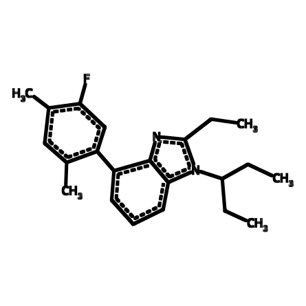 CCc1nc2c(-c3cc(F)c(C)cc3C)cccc2n1C(CC)CC